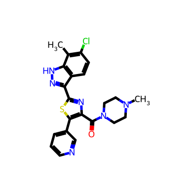 Cc1c(Cl)ccc2c(-c3nc(C(=O)N4CCN(C)CC4)c(-c4cccnc4)s3)n[nH]c12